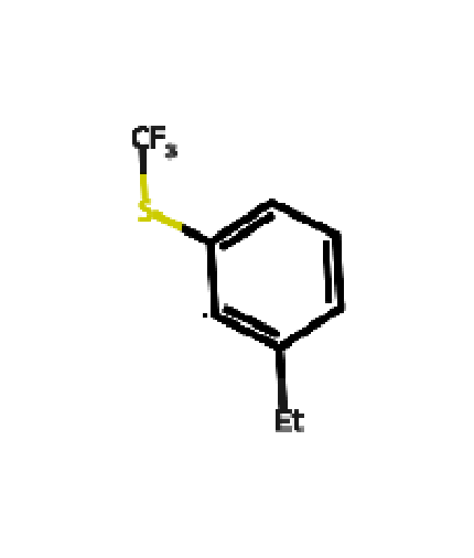 CCc1[c]c(SC(F)(F)F)ccc1